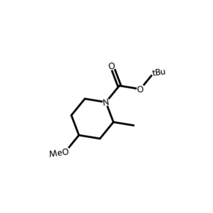 COC1CCN(C(=O)OC(C)(C)C)C(C)C1